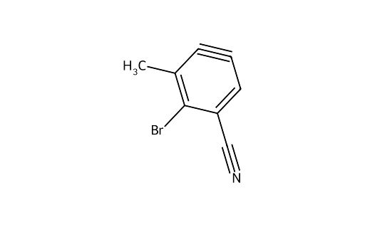 Cc1c#ccc(C#N)c1Br